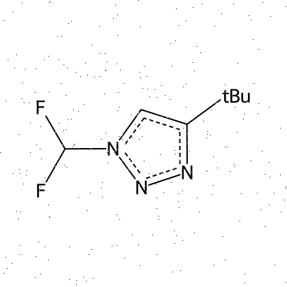 CC(C)(C)c1cn(C(F)F)nn1